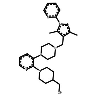 Cc1nn(-c2ccccn2)c(C)c1CN1CCN(c2cccnc2N2CCC(CO)CC2)CC1